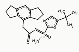 CC(C)(O)c1cnc([S@@](N)(=O)=NC(=O)Cc2c3c(cc4c2CCC4)CCC3)s1